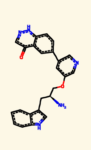 N[C@H](COc1cncc(-c2ccc3[nH]ncc(=O)c3c2)c1)Cc1c[nH]c2ccccc12